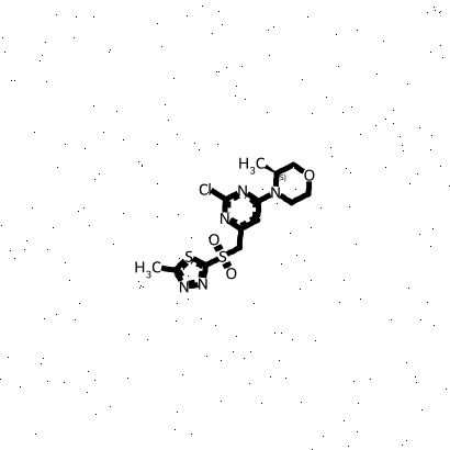 Cc1nnc(S(=O)(=O)Cc2cc(N3CCOC[C@@H]3C)nc(Cl)n2)s1